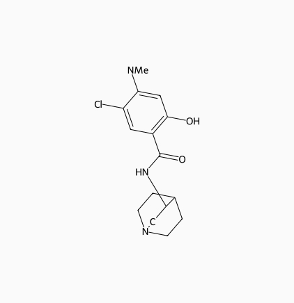 CNc1cc(O)c(C(=O)NC2CN3CCC2CC3)cc1Cl